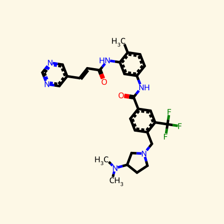 Cc1ccc(NC(=O)c2ccc(CN3CCC(N(C)C)C3)c(C(F)(F)F)c2)cc1NC(=O)/C=C/c1cncnc1